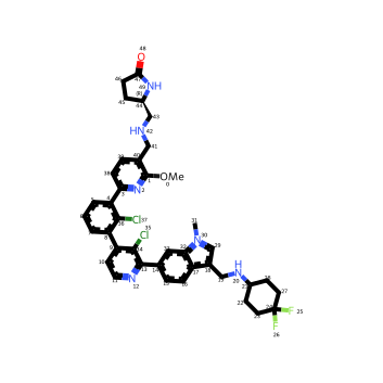 COc1nc(-c2cccc(-c3ccnc(-c4ccc5c(CNC6CCC(F)(F)CC6)cn(C)c5c4)c3Cl)c2Cl)ccc1CNC[C@H]1CCC(=O)N1